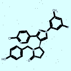 Cc1cc(F)cc(-n2cc([C@H]3CCC(=O)N3Cc3ccc(O)cc3)c(-c3ccc(Cl)nc3)n2)c1